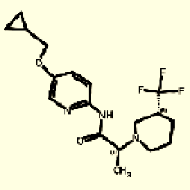 C[C@@H](C(=O)Nc1ccc(OCC2CC2)cn1)N1CCC[C@@H](C(F)(F)F)C1